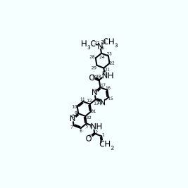 C=CC(=O)Nc1ccnc2ccc(-c3nccc(C(=O)NC4CCC(N(C)C)CC4)n3)cc12